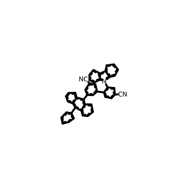 N#Cc1cc(-c2ccc(C#N)cc2-n2c3ccccc3c3ccccc32)cc(-c2c3ccccc3c(-c3ccccc3)c3ccccc23)c1